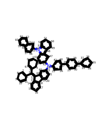 C1=CCCC(/C(C2=CCCC=C2)=C2/c3ccccc3-c3ccc(N(c4ccc(-c5ccc(-c6ccccc6)cc5)cc4)c4ccc5c(c4)c4ccccc4n5-c4ccc5ccccc5c4)cc32)=C1